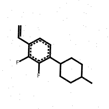 C=Cc1ccc(C2CCC(C)CC2)c(F)c1F